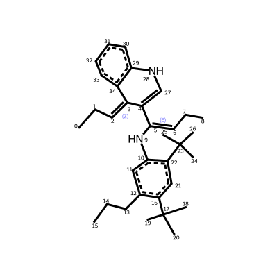 CC/C=C1/C(/C(=C\CC)Nc2cc(CCC)c(C(C)(C)C)cc2C(C)(C)C)=CNc2ccccc21